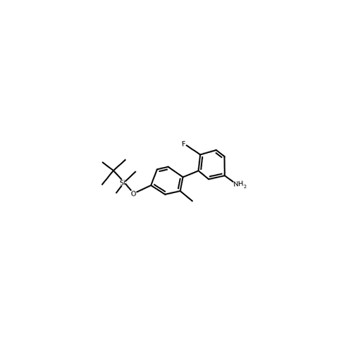 Cc1cc(O[Si](C)(C)C(C)(C)C)ccc1-c1cc(N)ccc1F